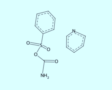 NC(=O)OS(=O)(=O)c1ccccc1.c1ccncc1